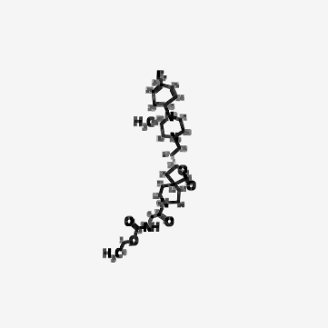 CCOC(=O)NCC(=O)N1CCC2(CC1)C[C@H](CCN1CCN(c3ccc(F)cc3)[C@@H](C)C1)OC2=O